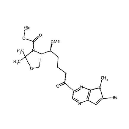 CO[C@@H](CCCC(=O)c1cnc2cc(C(C)(C)C)n(C)c2n1)[C@@H]1COC(C)(C)N1C(=O)OC(C)(C)C